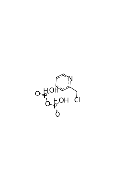 ClCc1ccccn1.O=[PH](O)O[PH](=O)O